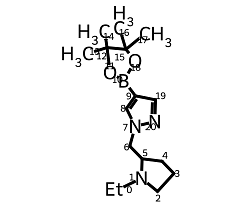 CCN1CCCC1Cn1cc(B2OC(C)(C)C(C)(C)O2)cn1